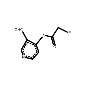 CC(C)CC(=O)Nc1ccncc1C=O